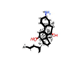 CC(=O)CCC(C)[C@H]1CC[C@H]2[C@@H]3[C@H](O)C[C@@H]4C[C@H](N)CC[C@]4(C)[C@H]3C[C@H](O)[C@]12C